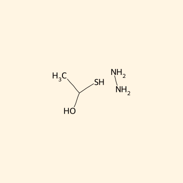 CC(O)S.NN